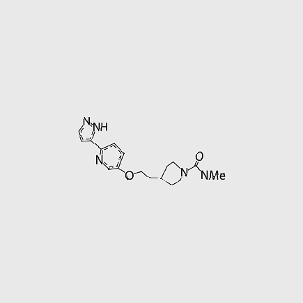 CNC(=O)N1CCC(CCOc2ccc(-c3ccn[nH]3)nc2)CC1